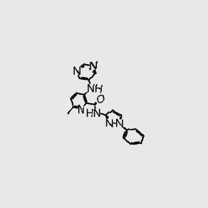 Cc1ccc(Nc2cncnc2)c(C(=O)Nc2ccn(-c3ccccc3)n2)n1